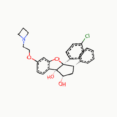 O[C@H]1C[C@@H](c2ccccc2)[C@]2(c3ccc(Cl)cc3)Oc3cc(OCCN4CCC4)ccc3[C@]12O